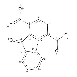 O=C(O)c1ccc(C(=O)O)c2c1C(=O)c1ccccc1-2